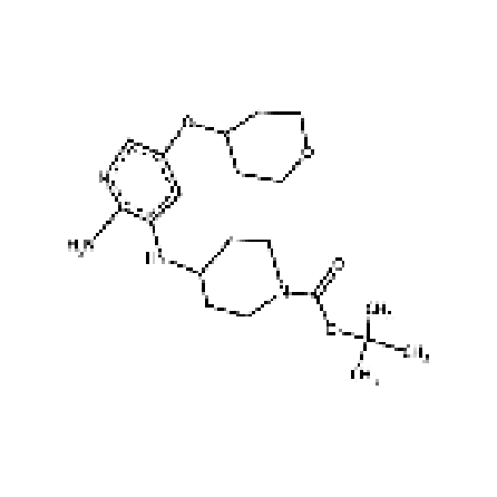 CC(C)(C)OC(=O)N1CCC(Nc2cc(OC3CCOCC3)cnc2N)CC1